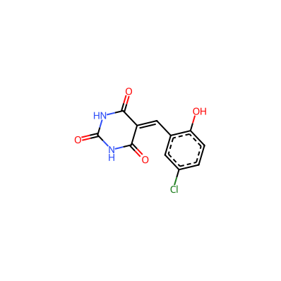 O=C1NC(=O)C(=Cc2cc(Cl)ccc2O)C(=O)N1